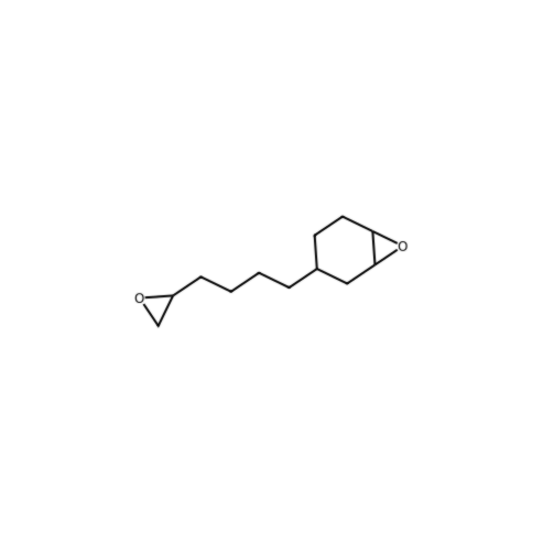 C(CCC1CO1)CC1CCC2OC2C1